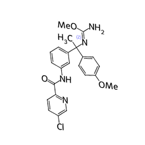 CO/C(N)=N\C(C)(c1ccc(OC)cc1)c1cccc(NC(=O)c2ccc(Cl)cn2)c1